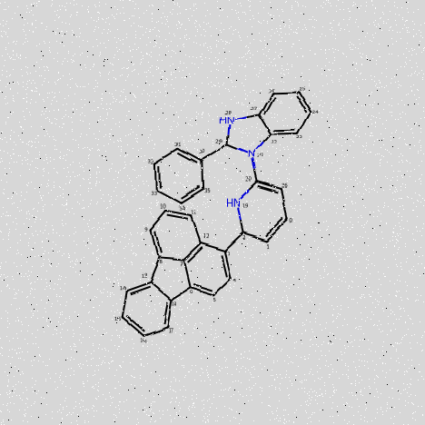 C1=CC(c2ccc3c4c(cccc24)-c2ccccc2-3)NC(N2c3ccccc3NC2c2ccccc2)=C1